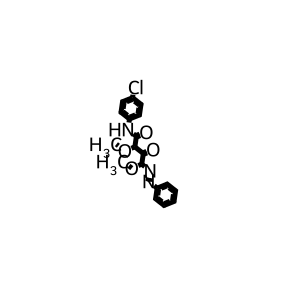 COC(N=Nc1ccccc1)C(=O)C(OC)C(=O)Nc1ccc(Cl)cc1